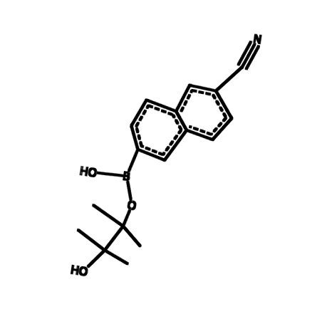 CC(C)(O)C(C)(C)OB(O)c1ccc2cc(C#N)ccc2c1